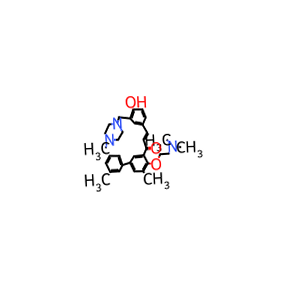 Cc1cccc(-c2cc(C)c(OCCN(C)C)c(C(=O)/C=C/c3ccc(O)c(CN4CCN(C)CC4)c3)c2)c1